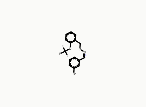 FC(F)(F)Oc1ccccc1CO/N=[C]\c1cccc(Br)c1